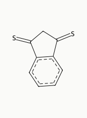 S=C1CC(=S)c2ccccc21